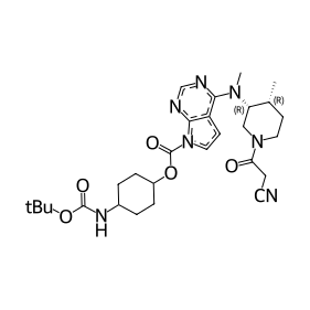 C[C@@H]1CCN(C(=O)CC#N)C[C@@H]1N(C)c1ncnc2c1ccn2C(=O)OC1CCC(NC(=O)OC(C)(C)C)CC1